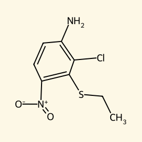 CCSc1c([N+](=O)[O-])ccc(N)c1Cl